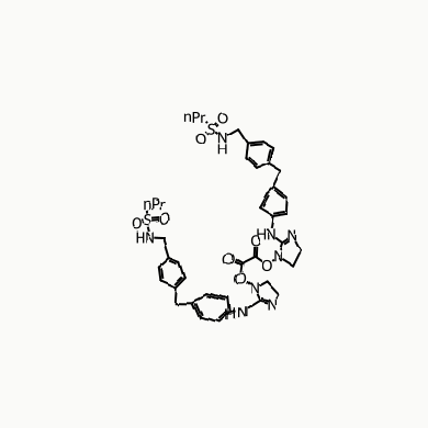 CCCS(=O)(=O)NCc1ccc(Cc2ccc(NC3=NCCN3OC(=O)C(=O)ON3CCN=C3Nc3ccc(Cc4ccc(CNS(=O)(=O)CCC)cc4)cc3)cc2)cc1